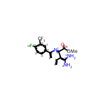 C=CC(=C(N)N)/C(=N\C(=C)c1ccc(F)c(C(F)(F)F)c1)C(=O)OC